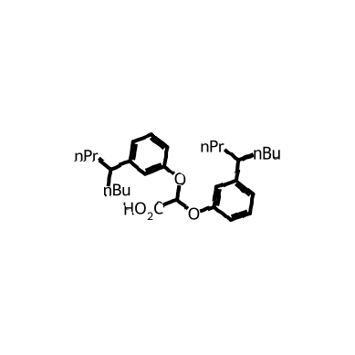 CCCCC(CCC)c1cccc(OC(Oc2cccc(C(CCC)CCCC)c2)C(=O)O)c1